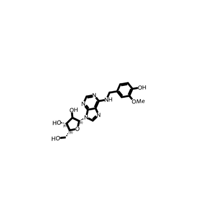 COc1cc(CNc2ncnc3c2ncn3[C@@H]2O[C@H](CO)[C@H](O)C2O)ccc1O